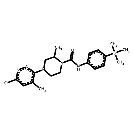 Cc1cc(Cl)nnc1N1CCN(C(=O)Nc2ccc([Si](C)(C)C)cc2)C(C)C1